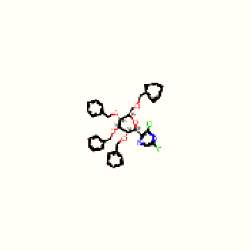 Clc1cnc([C@@H]2O[C@H](COCc3ccccc3)[C@@H](OCc3ccccc3)[C@H](OCc3ccccc3)[C@H]2OCc2ccccc2)c(Cl)n1